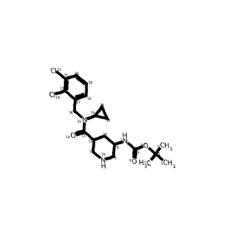 CC(C)(C)OC(=O)NC1CNCC(C(=O)N(Cc2cccc(Cl)c2Cl)C2CC2)C1